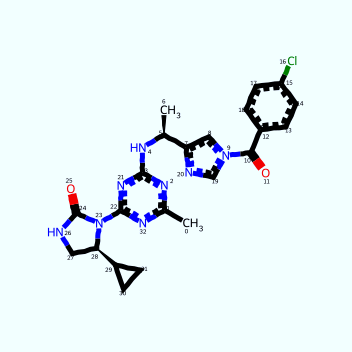 Cc1nc(N[C@@H](C)c2cn(C(=O)c3ccc(Cl)cc3)cn2)nc(N2C(=O)NC[C@@H]2C2CC2)n1